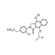 CCOC(=O)Cc1ccc(N2Cc3c(c(OCC(F)F)c4ccccc4c3OCC)C2=O)c(Cl)c1